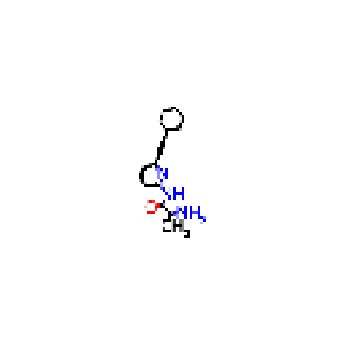 CC(N)C(=O)Nc1cccc(C#CC2=CCCCC2)n1